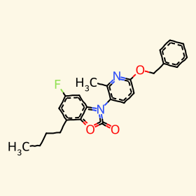 CCCCc1cc(F)cc2c1oc(=O)n2-c1ccc(OCc2ccccc2)nc1C